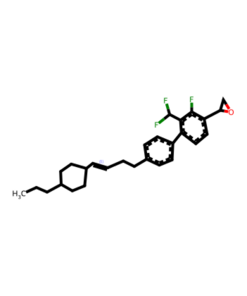 CCCC1CCC(/C=C/CCc2ccc(-c3ccc(C4CO4)c(F)c3C(F)F)cc2)CC1